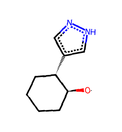 [O][C@H]1CCCC[C@@H]1c1cn[nH]c1